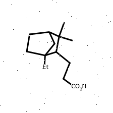 CCC12CCC(C1)C(C)(C)C2CCC(=O)O